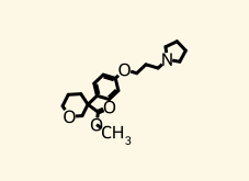 COC(=O)C1(c2ccc(OCCCN3CCCC3)cc2)CCCOC1